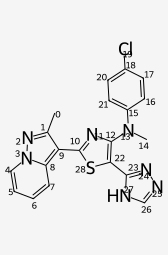 Cc1nn2ccccc2c1-c1nc(N(C)c2ccc(Cl)cc2)c(-c2nnc[nH]2)s1